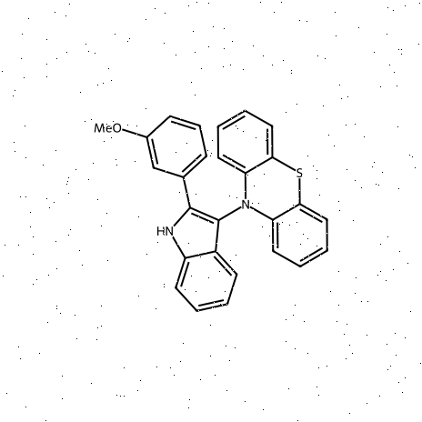 COc1cccc(-c2[nH]c3ccccc3c2N2c3ccccc3Sc3ccccc32)c1